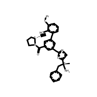 C#C[C@H]1CCCN1C(=O)c1cc(-c2ncc([C@](C)(N)Cc3ccccc3)o2)cc(-c2cccc(SC(C)C)c2C#N)c1